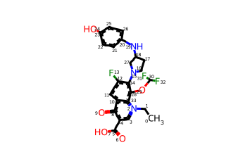 CCn1cc(C(=O)O)c(=O)c2cc(F)c(N3CCC(Nc4ccc(O)cc4)C3)c(OC(F)F)c21